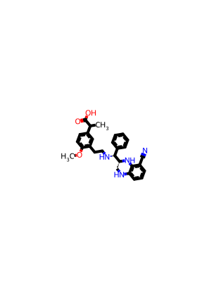 COc1ccc(C(C)C(=O)O)cc1CCN[C@H](c1ccccc1)[C@H]1CNc2cccc(C#N)c2N1